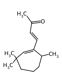 CC(=O)/C=C/C1=CC(C)(C)CCCC1C